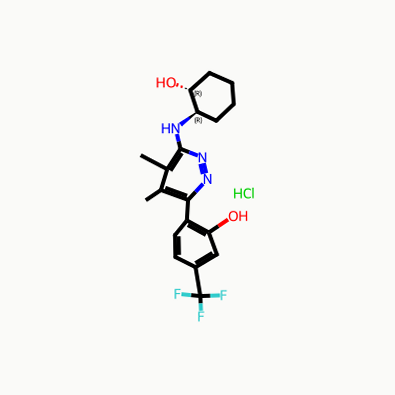 Cc1c(N[C@@H]2CCCC[C@H]2O)nnc(-c2ccc(C(F)(F)F)cc2O)c1C.Cl